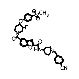 CS(=O)(=O)c1ccc(OC2CCN(C(=O)c3ccc4oc(C(=O)NC5CCN(Cc6ccc(C#N)cc6)CC5)cc4c3)CC2F)cc1